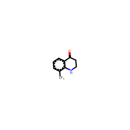 O=C1CCNc2c1cccc2C(F)(F)F